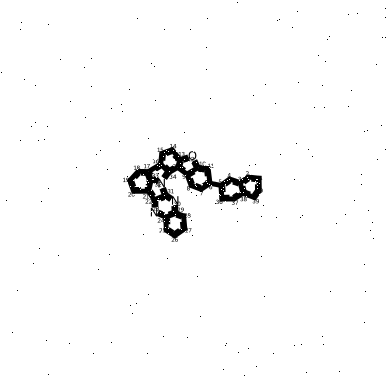 c1ccc2cc(-c3ccc4c(c3)oc3ccc5c6cccc7c8nc9ccccc9nc8n(c67)c5c34)ccc2c1